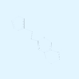 CN1CCOc2cc(CCc3c[c]ccc3)ccc21